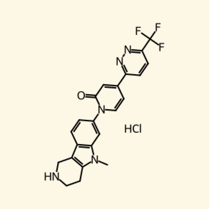 Cl.Cn1c2c(c3ccc(-n4ccc(-c5ccc(C(F)(F)F)nn5)cc4=O)cc31)CNCC2